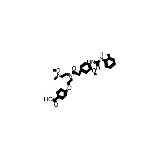 COc1cc(CC(=O)N(CCOc2ccc(C(=O)O)cc2)CCN(C)OC)ccc1NC(=O)Nc1ccccc1C